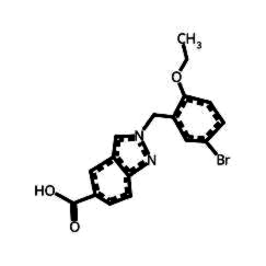 CCOc1ccc(Br)cc1Cn1cc2cc(C(=O)O)ccc2n1